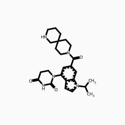 CC(C)n1ccc2c(N3CCC(=O)NC3=O)cc(C(=O)N3CCC4(CCCNC4)CC3)cc21